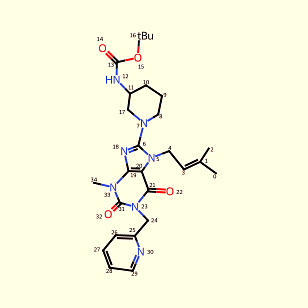 CC(C)=CCn1c(N2CCCC(NC(=O)OC(C)(C)C)C2)nc2c1c(=O)n(Cc1ccccn1)c(=O)n2C